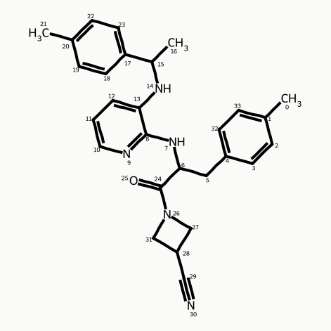 Cc1ccc(CC(Nc2ncccc2NC(C)c2ccc(C)cc2)C(=O)N2CC(C#N)C2)cc1